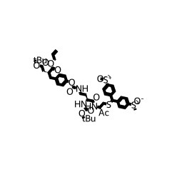 C=CCOC(=O)[C@@H](CC(=O)OC(C)(C)C)Cc1ccc(OC(=O)NCC[C@H](NC(=O)OC(C)(C)C)C(=O)N[C@@H](CSC(c2ccc([S+](C)[O-])cc2)c2ccc([S+](C)[O-])cc2)C(C)=O)cc1